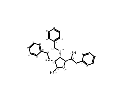 SC(Cc1ccccc1)[C@H]1O[C@@H](S)[C@H](OCc2ccccc2)[C@H]1OCc1ccccc1